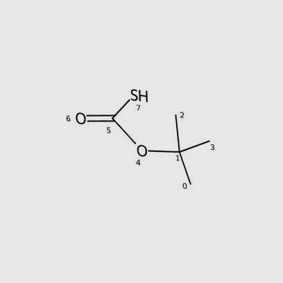 CC(C)(C)OC(=O)S